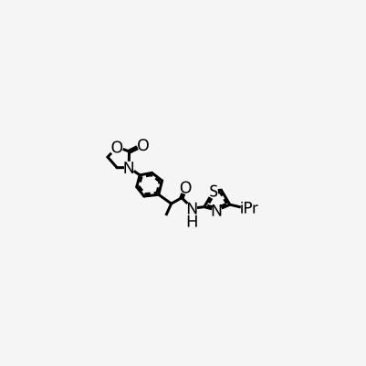 CC(C)c1csc(NC(=O)C(C)c2ccc(N3CCOC3=O)cc2)n1